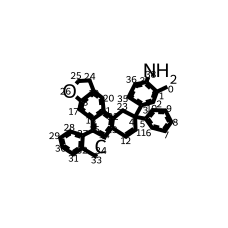 Cc1cc(C2(c3ccccc3)C=Cc3c4c(c5cc6c(cc5c3C2)CCO6)-c2ccccc2CC4)ccc1N